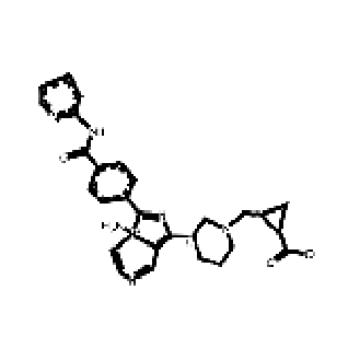 N[N+]12C=CN=CC1=C([C@@H]1CCCN(CC3CC3C(=O)[O-])C1)N=C2c1ccc(C(=O)Nc2ccccn2)cc1